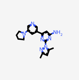 Cc1cc(C)n(-c2nc(N)cc(-c3cncc(N4CCCC4)c3)n2)n1